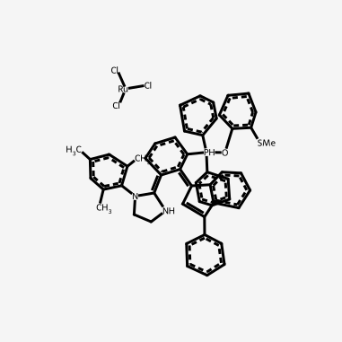 CSc1ccccc1O[PH](c1ccccc1)(c1ccccc1)c1cccc(=C2NCCN2c2c(C)cc(C)cc2C)c1=C1C=C(c2ccccc2)c2ccccc21.[Cl][Ru]([Cl])[Cl]